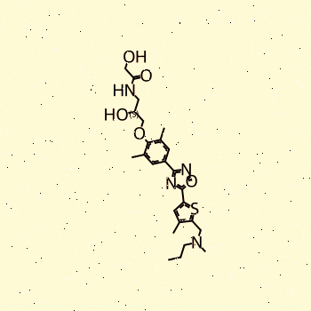 CCCN(C)Cc1sc(-c2nc(-c3cc(C)c(OC[C@@H](O)CNC(=O)CO)c(C)c3)no2)cc1C